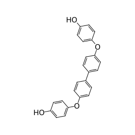 Oc1ccc(Oc2ccc(-c3ccc(Oc4ccc(O)cc4)cc3)cc2)cc1